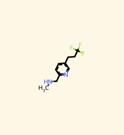 CNCc1ccc(CCC(F)(F)F)cn1